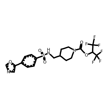 O=C(OC(C(F)(F)F)C(F)(F)F)N1CCC(CNS(=O)(=O)c2ccc(-c3cnco3)cc2)CC1